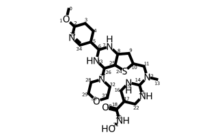 COC1CCC(C2NC3CC(CN(C)C4NCC(C(=O)NO)CN4)SC3C(N3CCOCC3)N2)C=N1